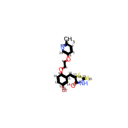 Cc1ccc(OCCOc2ccc(Br)cc2C=C2SC(=S)NC2=O)cn1